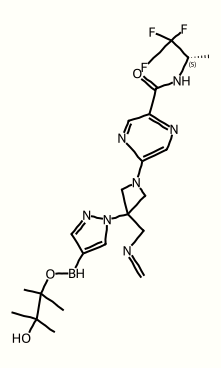 C=NCC1(n2cc(BOC(C)(C)C(C)(C)O)cn2)CN(c2cnc(C(=O)N[C@@H](C)C(F)(F)F)cn2)C1